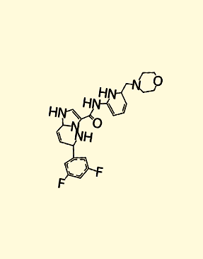 O=C(NC1=CC=CC(CN2CCOCC2)N1)C1=CNC2C=CC(c3cc(F)cc(F)c3)NN12